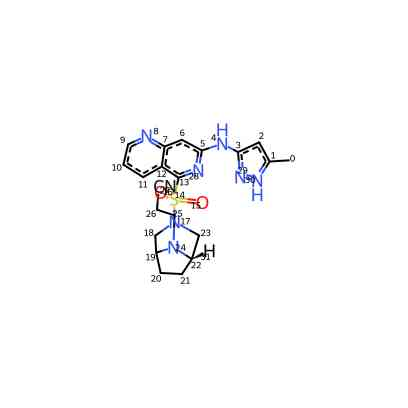 Cc1cc(Nc2cc3ncccc3c(S(=O)(=O)N3CC4CC[C@@H](C3)N4CCC#N)n2)n[nH]1